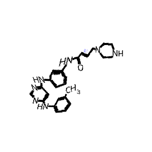 Cc1cccc(Nc2cc(Nc3cccc(NC(=O)/C=C/CN4CCNCC4)c3)ncn2)c1